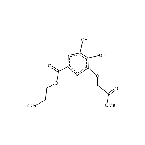 CCCCCCCCCCCCOC(=O)c1cc(O)c(O)c(OCC(=O)OC)c1